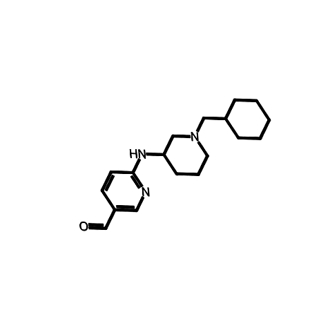 O=Cc1ccc(NC2CCCN(CC3CCCCC3)C2)nc1